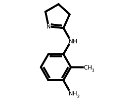 Cc1c(N)cccc1NC1=NCCC1